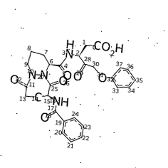 O=C(O)C[C@H](NC(=O)[C@@H]1CCCN2C(=O)CC[C@H](NC(=O)c3ccccc3)C(=O)N12)C(=O)COc1ccccc1